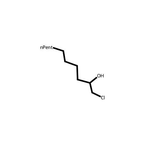 CCCCCCCCCC(O)CCl